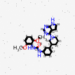 COc1cccc(OC)c1NC(=O)Nc1cccc(C2CCCN(c3ncnc4[nH]ccc34)C2)c1